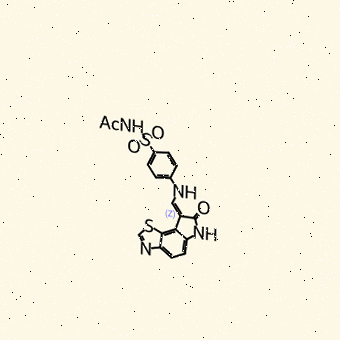 CC(=O)NS(=O)(=O)c1ccc(N/C=C2\C(=O)Nc3ccc4ncsc4c32)cc1